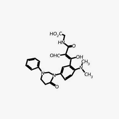 CN(C)c1ccc(N2CN(c3ccccc3)CCC2=O)cc1/C(O)=C(\C=O)C(=O)NCC(=O)O